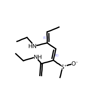 C=C(NCC)/C(=C\C(=C/C)NCC)[S+](C)[O-]